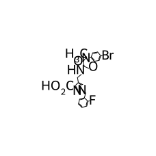 CN1C(=O)C(NCCc2cn(Cc3ccccc3F)nc2C(=O)O)COc2cc(Br)ccc21